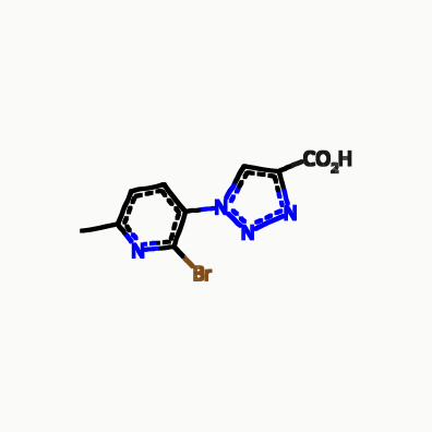 Cc1ccc(-n2cc(C(=O)O)nn2)c(Br)n1